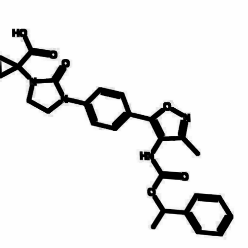 Cc1noc(-c2ccc(N3CCN(C4(C(=O)O)CC4)C3=O)cc2)c1NC(=O)OC(C)c1ccccc1